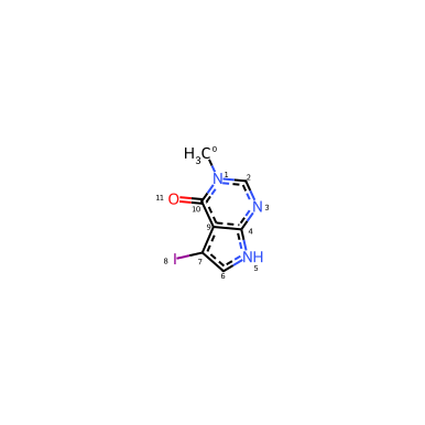 Cn1cnc2[nH]cc(I)c2c1=O